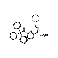 CCOC(=O)/C(=N/OC1CCCCC1)c1cccc(NC(c2ccccc2)(c2ccccc2)c2ccccc2)n1